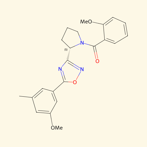 COc1cc(C)cc(-c2nc([C@@H]3CCCN3C(=O)c3ccccc3OC)no2)c1